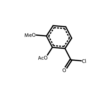 COc1cccc(C(=O)Cl)c1OC(C)=O